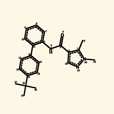 Cc1c(C(=O)Nc2ccccc2-c2ccc(C(C)(C)C)cc2)cnn1C